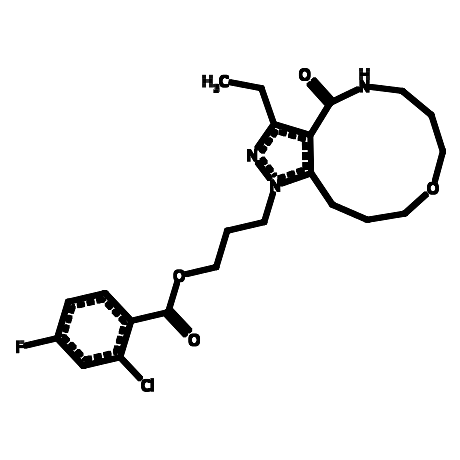 CCc1nn(CCCOC(=O)c2ccc(F)cc2Cl)c2c1C(=O)NCCCOCCC2